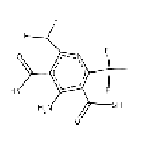 Nc1c(C(=O)S)c(C(F)F)nc(C(F)(F)F)c1C(=O)S